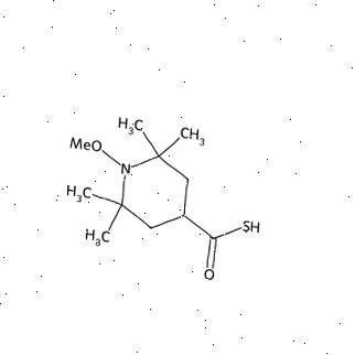 CON1C(C)(C)CC(C(=O)S)CC1(C)C